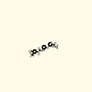 CN(C)NC(=O)c1cc(Oc2cccc(NC(=O)Nc3ccc(Cl)c(C(F)(F)F)c3)c2)ccn1